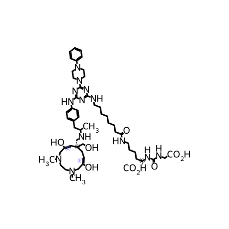 CC(Cc1ccc(Nc2nc(NCCCCCCCC(=O)NCCCC[C@H](NC(=O)NCC(=O)O)C(=O)O)nc(N3CCN(c4ccccc4)CC3)n2)cc1)NC[C@@]1(CO)/C=C(/O)CN(C)CCN(C)C/C(O)=C\C1